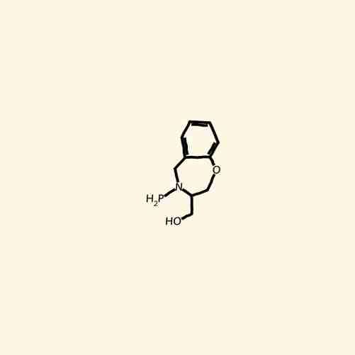 OCC1COc2ccccc2CN1P